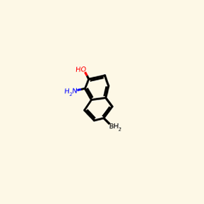 Bc1ccc2c(N)c(O)ccc2c1